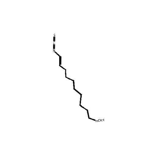 CCCCCCCCCCCCCCCCC=CN=C=S